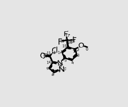 COc1ccc(-n2nccc2C(=O)Cl)cc1C(F)(F)F